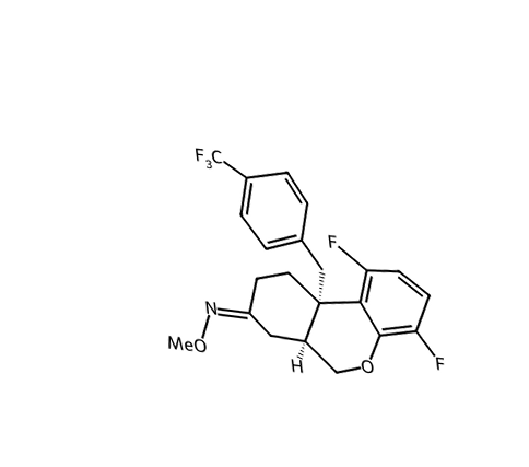 CO/N=C1/CC[C@@]2(Cc3ccc(C(F)(F)F)cc3)c3c(F)ccc(F)c3OC[C@H]2C1